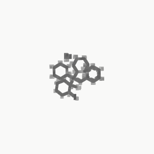 IC1CCCCC1(I)P(=Cc1ccccc1)(C1CCCCC1)C1CCCCC1.[Ru]